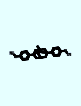 CC12CC3CC(c4ccc(OC#N)cc4)(C1)CC(c1ccc(OC#N)cc1)(C3)C2